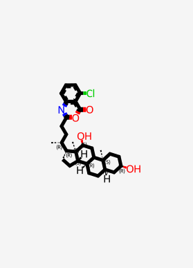 C[C@H](CCc1nc2cccc(Cl)c2c(=O)o1)[C@H]1CC[C@H]2[C@@H]3CC[C@@H]4C[C@H](O)CC[C@]4(C)C3C[C@H](O)[C@]12C